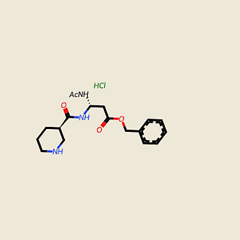 CC(=O)N[C@H](CC(=O)OCc1ccccc1)NC(=O)[C@@H]1CCCNC1.Cl